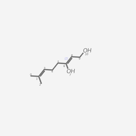 CC(C)=CCC/C(O)=C/CO